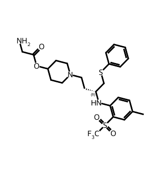 Cc1ccc(N[C@H](CCN2CCC(OC(=O)CN)CC2)CSc2ccccc2)c(S(=O)(=O)C(F)(F)F)c1